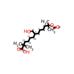 CC(C)(CCCCC(CO)CCCCC(C)(C)C(=O)O)OC=O